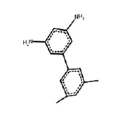 Cc1cc(C)cc(-c2cc(N)cc(N)c2)c1